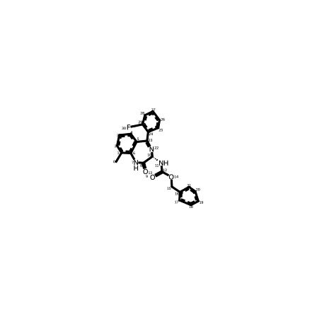 Cc1cccc2c1NC(=O)[C@@H](NC(=O)OCc1ccccc1)N=C2c1ccccc1F